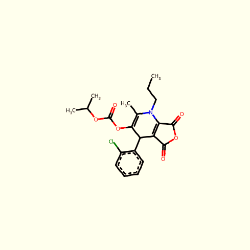 CCCN1C(C)=C(OC(=O)OC(C)C)C(c2ccccc2Cl)C2=C1C(=O)OC2=O